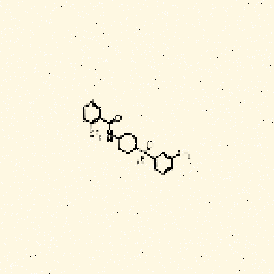 O=C(NC1CCC(S(=O)(=O)c2cccc(C(F)(F)F)c2)CC1)c1cnccc1C(F)(F)F